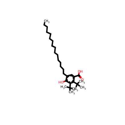 CCCCCCCCCCCCCCCCc1cc(C(=O)O)c(C(C)(C)C)c(C(C)(C)C)c1O